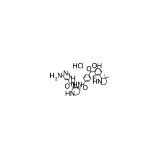 CC1(C)CCCNC1c1ccc(O)c(C(=O)c2ccc(C(=O)N[C@@H]3CCCNC[C@H]3NC(=O)c3ccnc(N)c3)cc2)c1F.Cl